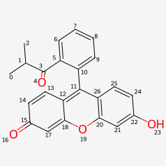 CC(C)C(=O)c1ccccc1-c1c2ccc(=O)cc-2oc2cc(O)ccc12